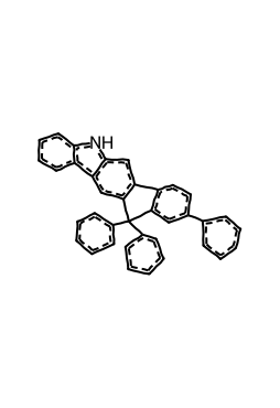 c1ccc(-c2ccc3c(c2)C(c2ccccc2)(c2ccccc2)c2cc4c(cc2-3)[nH]c2ccccc24)cc1